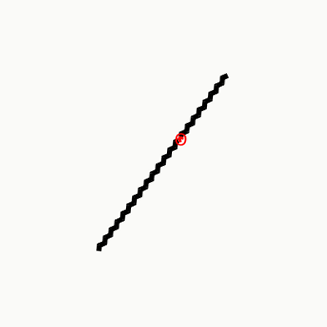 CCCCCCCCCCCCCCCCCCCCCCCCCCCCOCCCCCCCCCCCCCCCC